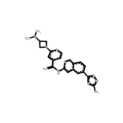 C=C(Nc1cc2cc(-c3nnc(C)s3)ccc2cn1)c1ccnc(N2CC(N(C)C)C2)c1